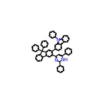 C1=C(c2ccccc2)NC(c2ccccc2)N=C1c1cc2c(cc1-c1ccc3c4ccccc4n(-c4ccccc4)c3c1)C(c1ccccc1)(c1ccccc1)c1ccccc1-2